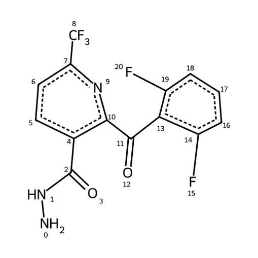 NNC(=O)c1ccc(C(F)(F)F)nc1C(=O)c1c(F)cccc1F